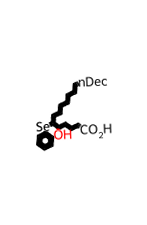 CCCCCCCCCCCCCCCCCC([Se]c1ccccc1)C(O)CCCC(=O)O